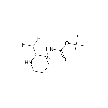 CC(C)(C)OC(=O)N[C@@H]1CCCNC1C(F)F